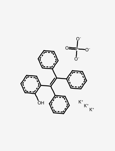 O=P([O-])([O-])[O-].Oc1ccccc1C(=C(c1ccccc1)c1ccccc1)c1ccccc1.[K+].[K+].[K+]